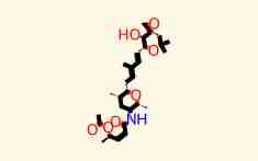 CC(=O)O[C@H](C)/C=C\C(=O)NC1C[C@H](C)[C@H](C/C=C(C)/C=C/[C@H]2OC(C)(C)C[C@@]3(CO3)[C@@H]2O)O[C@@H]1C